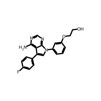 Nc1ncnc2c1c(-c1ccc(F)cc1)cn2-c1cccc(OCCO)c1